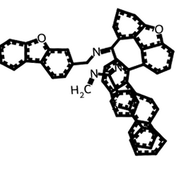 C=N/C(=N\C(=N/Cc1ccc2c(c1)oc1ccccc12)c1cccc2oc3cccc(-c4cccc5sc6c7ccccc7ccc6c45)c3c12)c1ccc(-c2ccccc2)cc1